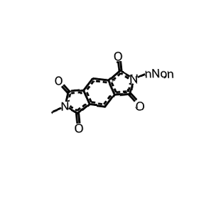 CCCCCCCCCn1c(=O)c2cc3c(=O)n(C)c(=O)c3cc2c1=O